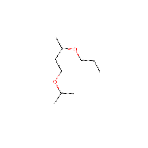 [CH2]C(CCOC(C)C)OCCC